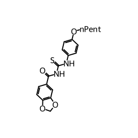 CCCCCOc1ccc(NC(=S)NC(=O)c2ccc3c(c2)OCO3)cc1